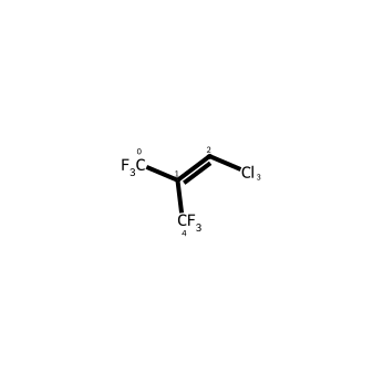 FC(F)(F)C(=CCl)C(F)(F)F